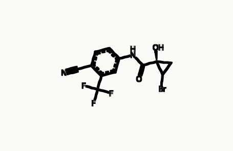 N#Cc1ccc(NC(=O)[C@]2(O)CC2Br)cc1C(F)(F)F